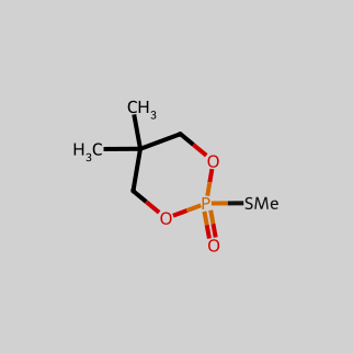 CSP1(=O)OCC(C)(C)CO1